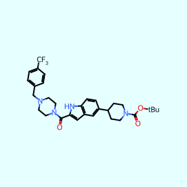 CC(C)(C)OC(=O)N1CCC(c2ccc3[nH]c(C(=O)N4CCN(Cc5ccc(C(F)(F)F)cc5)CC4)cc3c2)CC1